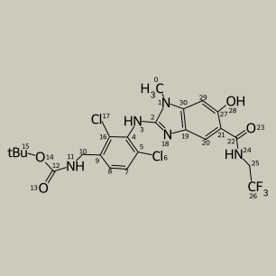 Cn1c(Nc2c(Cl)ccc(CNC(=O)OC(C)(C)C)c2Cl)nc2cc(C(=O)NCC(F)(F)F)c(O)cc21